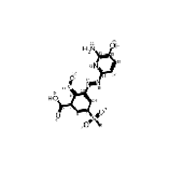 CS(=O)(=O)C1=CC(C(=O)O)C(=S=O)C(N=Nc2ccc(O)c(N)n2)=C1